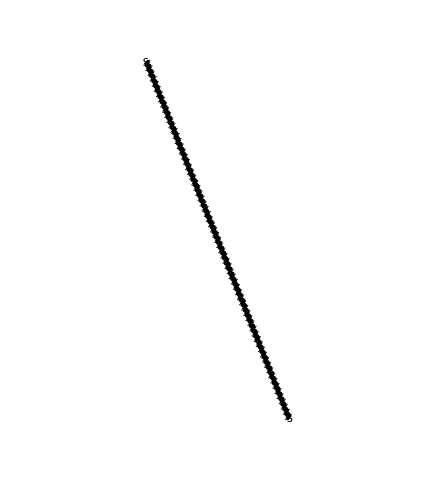 S=S=S=S=S=S=S=S=S=S=S=S=S=S=S=S=S=S=S=S=S=S=S=S=S=S=S=S=S=S=S=S=S=S=S=S=S=S=S=S=S=S=S=S=S=S=S=S=S=S=S=S=S=S=S=S=S=S=S=S=S=S=S=S=S=S=S=S=S=S=S=S=S=S=S=S=S=S=S=S=S=S=S=S=S=S=S=S=S=S=S=S=S=S=S=S=S=S=S=S=S=S=S=S=S=S=S=S=S=S=S=S=S=S=S=S=S=S=S=S=S=S=S=S=S=S=S=S=S=S=S=S=S=S=S=S=S=S